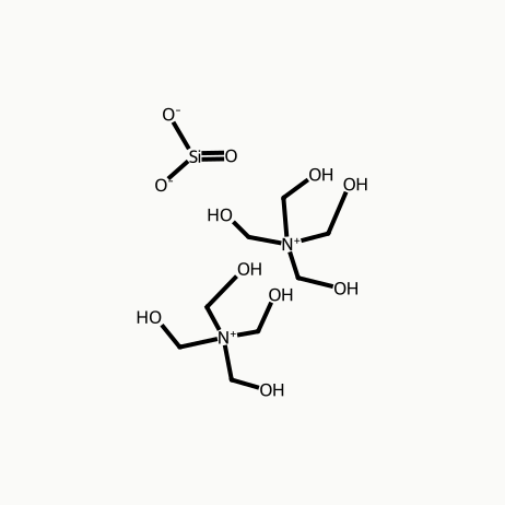 O=[Si]([O-])[O-].OC[N+](CO)(CO)CO.OC[N+](CO)(CO)CO